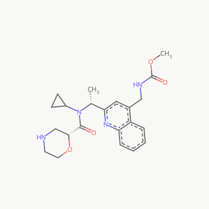 COC(=O)NCc1cc([C@@H](C)N(C(=O)[C@H]2CNCCO2)C2CC2)nc2ccccc12